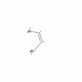 CC(C)/C=C\C(C)C